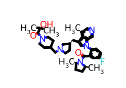 Cc1cncc2c1c(C[C@@H]1CCN(CC3CCN(C(=O)C(C)(C)O)CC3)C1)cn2-c1ccc(F)cc1C(=O)N1[C@H](C)CC[C@@H]1C